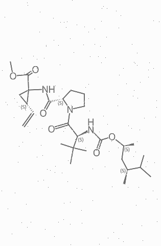 C=C[C@@H]1CC1(NC(=O)[C@@H]1CCCN1C(=O)[C@@H](NC(=O)O[C@@H](C)C[C@H](C)C(C)C)C(C)(C)C)C(=O)OC